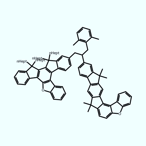 CCCCCCCC1(CCCCCCC)c2ccccc2-c2c1c1c(c3c2oc2ccccc23)-c2ccc(CC(Cc3c(C)cccc3C)c3ccc4c(c3)C(C)(C)c3cc5c(cc3-4)C(C)(C)c3ccc4oc6ccccc6c4c3-5)cc2C1(CCCCCCC)CCCCCCC